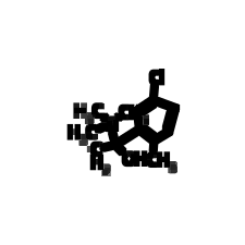 [CH2]C(O)(c1cc(Cl)ccc1C)[Si](C)(C)C